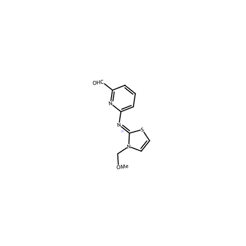 COCn1ccs/c1=N\c1cccc(C=O)n1